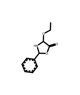 CCOC1NC(c2ccccc2)OC1=O